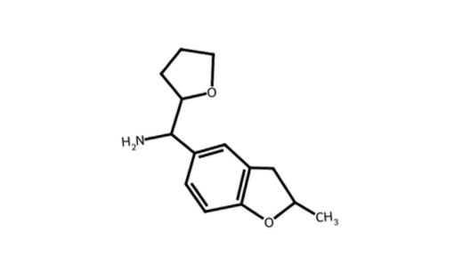 CC1Cc2cc(C(N)C3CCCO3)ccc2O1